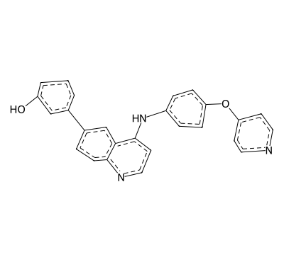 Oc1cccc(-c2ccc3nccc(Nc4ccc(Oc5ccncc5)cc4)c3c2)c1